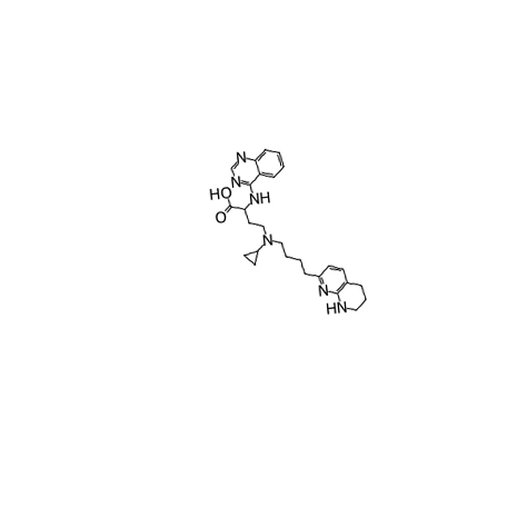 O=C(O)C(CCN(CCCCc1ccc2c(n1)NCCC2)C1CC1)Nc1ncnc2ccccc12